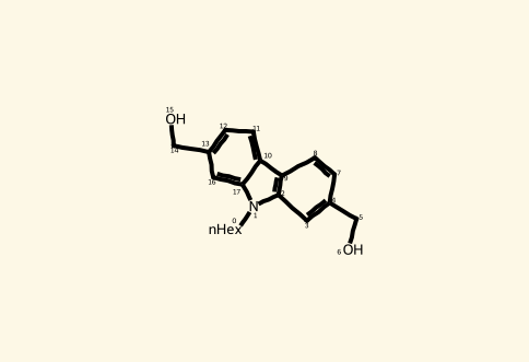 CCCCCCn1c2cc(CO)ccc2c2ccc(CO)cc21